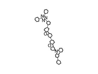 c1ccc(-c2ccc3c(c2)c2ccccc2n3-c2ccc3oc4cc(-c5ccc6c(c5)oc5ccc(-c7cccc(-c8nc(-c9ccccc9)nc(-c9ccccc9)n8)c7)cc56)ccc4c3c2)cc1